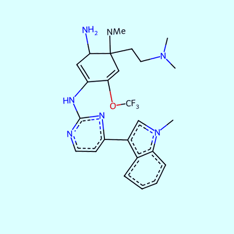 CNC1(CCN(C)C)C=C(OC(F)(F)F)C(Nc2nccc(-c3cn(C)c4ccccc34)n2)=CC1N